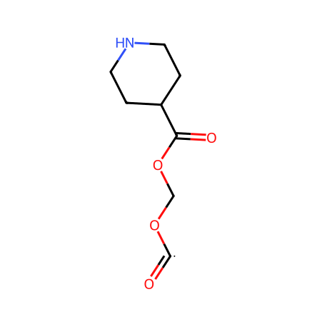 O=[C]OCOC(=O)C1CCNCC1